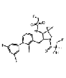 C[C@@](O)(CF)C(=O)N1CC2(CC2)[C@H](NS(=O)(=O)CF)[C@@H]1Cc1cccc(-c2cc(F)cc(F)c2)c1F